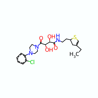 CCC1=CSC(CCNC(=O)[C@H](O)[C@@H](O)C(=O)N2CCN(c3ccccc3Cl)CC2)C1